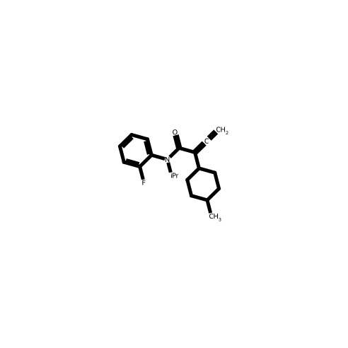 C=C=C(C(=O)N(c1ccccc1F)C(C)C)C1CCC(C)CC1